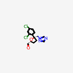 O=C[C@H]1CC[C@](Cn2cncn2)(c2ccc(Cl)cc2Cl)O1